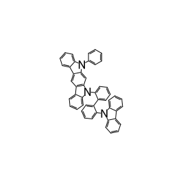 c1ccc(-n2c3ccccc3c3cc4c5ccccc5n(-c5ccccc5-c5ccccc5-n5c6ccccc6c6ccccc65)c4cc32)cc1